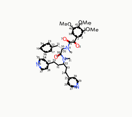 COc1cc(C(=O)C(=O)N(C)[C@@H](Cc2ccccc2)C(=O)N(C)C(CCc2ccncc2)CCc2ccncc2)cc(OC)c1OC